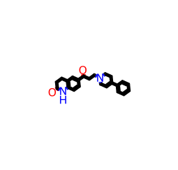 O=C1CCc2cc(C(=O)CCN3CC=C(c4ccccc4)CC3)ccc2N1